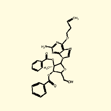 C=CCCOc1nc(N)nc2c1ncn2C1OC(CO)[C@@H](OC(=O)c2ccccc2)[C@@]1(C)OC(=O)c1ccccc1